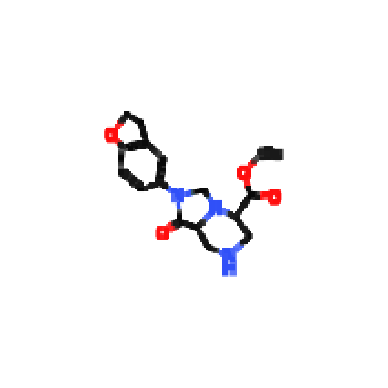 CC(C)(C)OC(=O)C1CNCC2C(=O)N(c3ccc4c(c3)CCO4)CN12